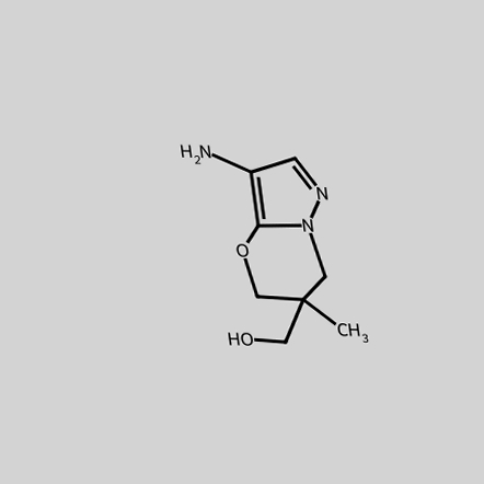 CC1(CO)COc2c(N)cnn2C1